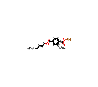 CCCCCCCCCCCCCCOC(=O)c1ccc(C(=O)OS)c(CCCCCCCCCC)c1